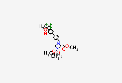 CCOC(=O)CC1CN(C(=O)OC(C)(C)C)CCN1Cc1ccc(-c2ccc(C(C)(O)C(F)(F)F)cc2)cc1